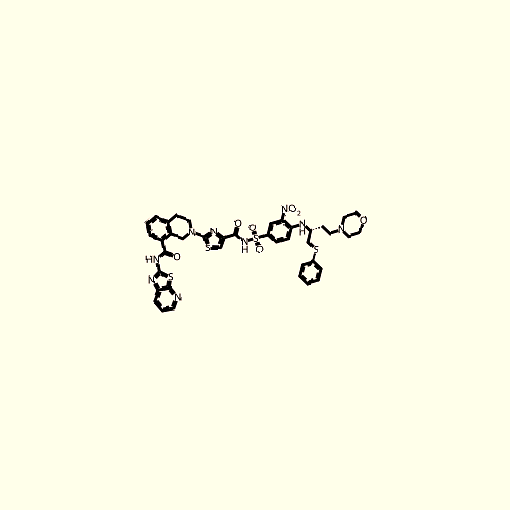 O=C(NS(=O)(=O)c1ccc(N[C@H](CCN2CCOCC2)CSc2ccccc2)c([N+](=O)[O-])c1)c1csc(N2CCc3cccc(C(=O)Nc4nc5cccnc5s4)c3C2)n1